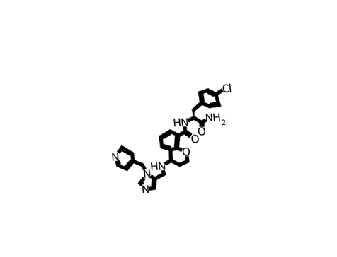 NC(=O)[C@H](Cc1ccc(Cl)cc1)NC(=O)c1cccc2c1OCCC2NCc1cncn1Cc1ccncc1